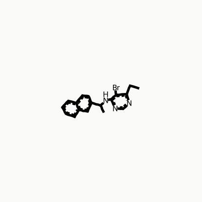 CCc1ncnc(NC(C)c2ccc3ccccc3c2)c1Br